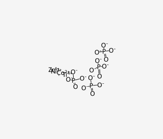 O=P([O-])([O-])[O-].O=P([O-])([O-])[O-].O=P([O-])([O-])[O-].O=P([O-])([O-])[O-].[Co+2].[Ni+2].[Ti+4].[Zr+4]